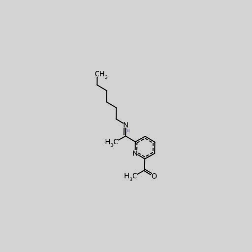 CCCCCC/N=C(\C)c1cccc(C(C)=O)n1